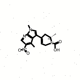 Cc1c([N+](=O)[O-])cnc2c1c(C1=CCN(C(=O)O)[C@@H](C)C1)cn2C